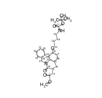 COC(=O)CC1Cc2ccc(OCCCCNC(=O)OC(C)(C)C)cc2N(Cc2ccccc2)C1=O